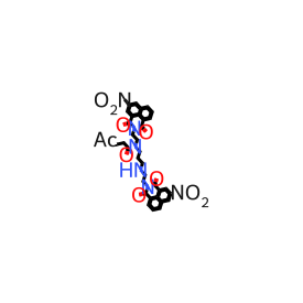 CC(=O)CCC(=O)N(CCCNCCN1C(=O)c2cccc3cc([N+](=O)[O-])cc(c23)C1=O)CCN1C(=O)c2cccc3cc([N+](=O)[O-])cc(c23)C1=O